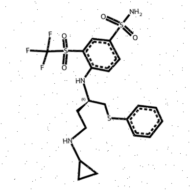 NS(=O)(=O)c1ccc(N[C@H](CCNC2CC2)CSc2ccccc2)c(S(=O)(=O)C(F)(F)F)c1